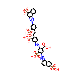 O=C(O)c1cc(-n2n3c4ccc5cc(S(=O)(=O)O)ccc5c4n23)c(S(=O)(=O)O)cc1N=Nc1ccc(C=Cc2ccc(-n3n4c5cc(S(=O)(=O)O)c6ccccc6c5n34)cc2S(=O)(=O)O)c(S(=O)(=O)O)c1